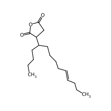 CCCC=CCCCCC(CCCC)C1CC(=O)OC1=O